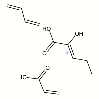 C=CC(=O)O.C=CC=C.CC/C=C(\O)C(=O)O